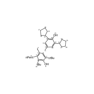 CCCCCc1c(I)cc(C(C)(C)C)c(O)c1C(C)(C)C.Cc1cc(C2CCCC2)c(O)c(C2CCCC2)c1